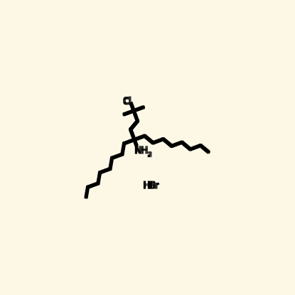 Br.CCCCCCCCC(N)(CCCCCCCC)CCC(C)(C)Cl